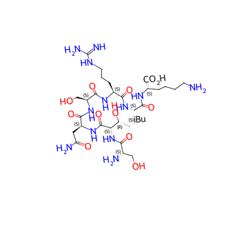 CC[C@H](C)[C@H](NC(=O)[C@H](CCCNC(=N)N)NC(=O)[C@H](CO)NC(=O)[C@H](CC(N)=O)NC(=O)[C@@H](NC(=O)[C@@H](N)CO)[C@@H](C)O)C(=O)N[C@@H](CCCCN)C(=O)O